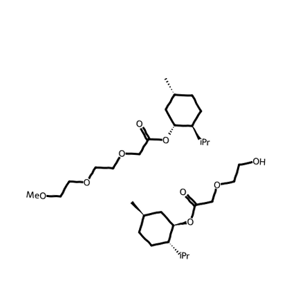 CC(C)[C@@H]1CC[C@@H](C)C[C@H]1OC(=O)COCCO.COCCOCCOCC(=O)O[C@@H]1C[C@H](C)CC[C@H]1C(C)C